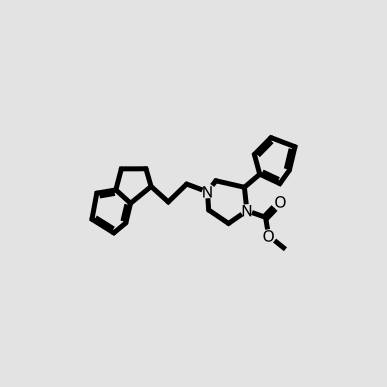 COC(=O)N1CCN(CCC2CCc3ccccc32)CC1c1ccccc1